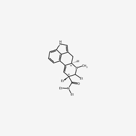 CCC1N(C)[C@@H]2Cc3c[nH]c4cccc(c34)C2=C[C@@]1(CC)C(=O)N(CC)CC